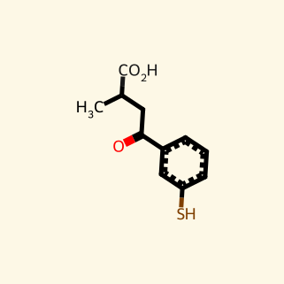 CC(CC(=O)c1cccc(S)c1)C(=O)O